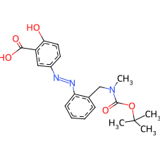 CN(Cc1ccccc1N=Nc1ccc(O)c(C(=O)O)c1)C(=O)OC(C)(C)C